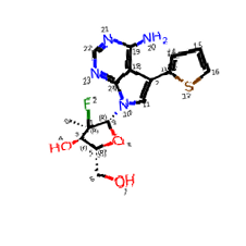 C[C@@]1(F)[C@H](O)[C@@H](CO)O[C@H]1n1cc(-c2cccs2)c2c(N)ncnc21